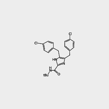 CC(C)(C)NC(=O)c1nc(Cc2ccc(Cl)cc2)c(Cc2ccc(Cl)cc2)[nH]1